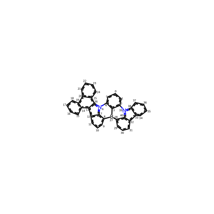 c1cc2c3c(c1)-n1c4c(cccc4c4c5ccccc5c5ccccc5c41)B3c1cccc3c4ccccc4n-2c13